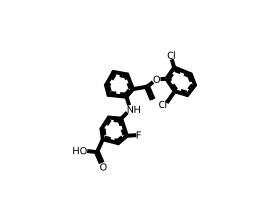 C=C(Oc1c(Cl)cccc1Cl)c1ccccc1Nc1ccc(C(=O)O)cc1F